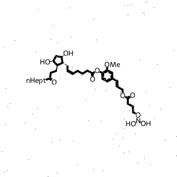 CCCCCCCC(=O)CC[C@@H]1[C@@H](C/C=C\CCCC(=O)Oc2ccc(/C=C/COC(=O)CCCON(O)O)cc2OC)[C@@H](O)C[C@H]1O